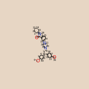 COc1ccc(C(CCN2CCN(c3ccc4c(c3)C(=O)N(C3CCCCC3)C4)CC2)c2ccc(OC)cc2)cc1